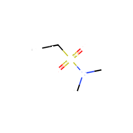 [CH2]CCCCS(=O)(=O)N(C)C